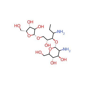 CCC(N)[C@@H](O[C@H]1OC(CO)[C@@H](O)[C@H](O)C1N)[C@H](O)CO[C@@H]1O[C@H](CO)[C@H](O)C1O